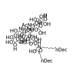 CCCCCCCCCCCCC/C=C/[C@@H](O)[C@H](CO[C@@H]1OC(CO)[C@@H](O[C@@H]2OC(CO[C@@H]3OC(CO)[C@@H](O[C@@H]4OC(CO)[C@H](O)[C@H](O)C4O)[C@H](O)C3NC(C)=O)[C@H](O)[C@H](O[C@@H]3OC(CO)[C@@H](O[C@@H]4OC(CO)[C@H](O)[C@H](O)C4O)[C@H](O)C3NC(C)=O)C2O)[C@H](O)C1O)NC(=O)CCCCCCCCCCCCCCCCC